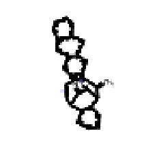 C=C1/C=C\C=C/C2c3ccccc3C1c1nc3cc4cc5ccccc5cc4cc3nc12